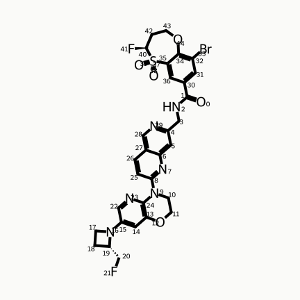 O=C(NCc1cc2nc(N3CCOc4cc(N5CC[C@H]5CF)cnc43)ccc2cn1)c1cc(Br)c2c(c1)S(=O)(=O)[C@@H](F)CCO2